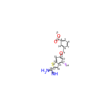 COC(=O)c1cccc(COc2cc(I)c3cc(C(=N)N)sc3c2)c1